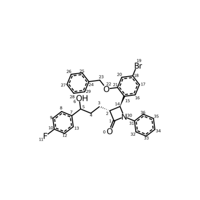 O=C1[C@H](CCC(O)c2ccc(F)cc2)[C@@H](c2ccc(Br)cc2OCc2ccccc2)N1c1ccccc1